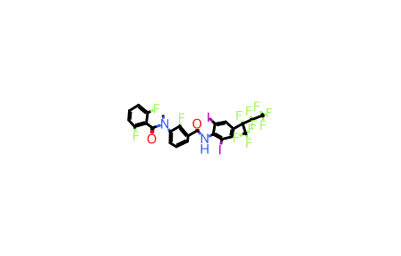 CN(C(=O)c1c(F)cccc1F)c1cccc(C(=O)Nc2c(I)cc(C(F)(C(F)(F)F)C(F)(F)C(F)(F)F)cc2I)c1F